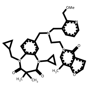 COCc1ncccc1CN(CCn1cc(C)c2occc2c1=O)Cc1ccc2c(c1)N(C1CC1)C(=O)C(C)(C)C(=O)N2CC1CC1